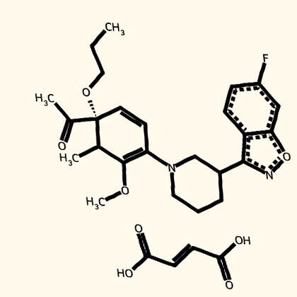 CCCO[C@]1(C(C)=O)C=CC(N2CCCC(c3noc4cc(F)ccc34)C2)=C(OC)C1C.O=C(O)C=CC(=O)O